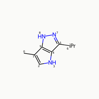 Cc1c[nH]c2c(C(C)C)n[nH]c12